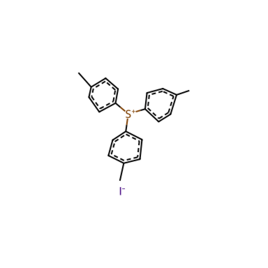 Cc1ccc([S+](c2ccc(C)cc2)c2ccc(C)cc2)cc1.[I-]